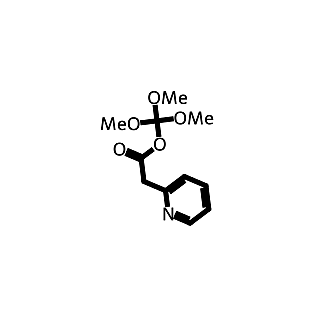 COC(OC)(OC)OC(=O)Cc1ccccn1